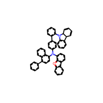 C1=CC2c3ccccc3N(c3ccccc3-c3ccc(N(c4ccc(-c5ccccc5)c5ccccc45)c4cccc5c4oc4ccccc45)cc3)C2C=C1